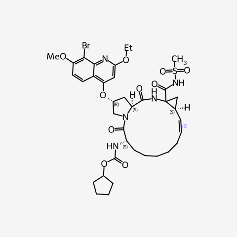 CCOc1cc(O[C@@H]2C[C@H]3C(=O)NC4(C(=O)NS(C)(=O)=O)C[C@H]4/C=C\CCCCC[C@H](NC(=O)OC4CCCC4)C(=O)N3C2)c2ccc(OC)c(Br)c2n1